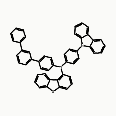 c1ccc(-c2cccc(-c3ccc(N(c4ccc(-n5c6ccccc6c6ccccc65)cc4)c4cccc5sc6ccccc6c45)cc3)c2)cc1